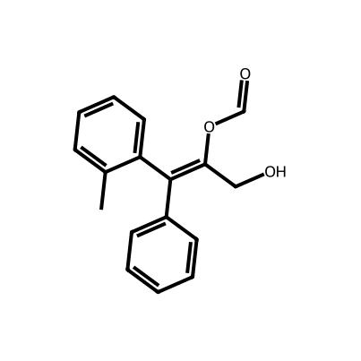 Cc1ccccc1/C(=C(/CO)OC=O)c1ccccc1